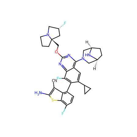 N#Cc1c(N)sc2c(F)ccc(-c3c(C4CC4)cc4c(N5C[C@H]6CC[C@@H](C5)N6)nc(OC[C@@]56CCCN5C[C@H](F)C6)nc4c3F)c12